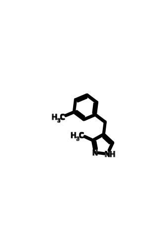 Cc1cccc(Cc2c[nH]nc2C)c1